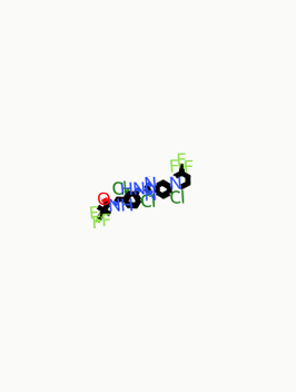 Cn1c(Nc2c(Cl)ccc(CNC(=O)C(C)(C)C(F)(F)F)c2Cl)nc2cc(Cl)c(N3CCCC(C(F)(F)F)C3)cc21